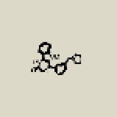 O=C1CN=C(c2cccc(CN3CCOCC3)c2)c2[nH]c3ccccc3c2N1